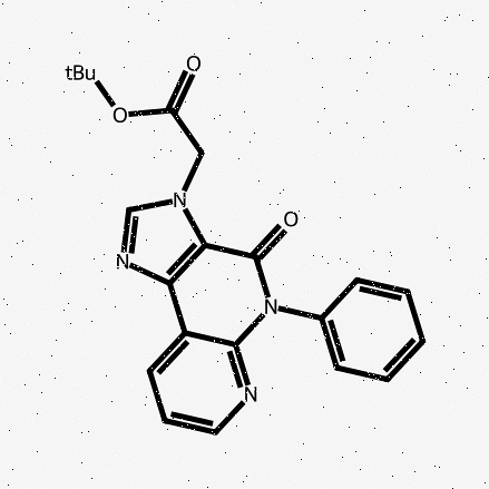 CC(C)(C)OC(=O)Cn1cnc2c3cccnc3n(-c3ccccc3)c(=O)c21